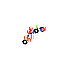 O=C1O[C@@H](CNS(=O)(=O)c2ccccc2)CN1c1ccc(N2CCOCC2)c(F)c1